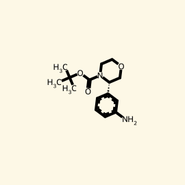 CC(C)(C)OC(=O)N1CCOC[C@@H]1c1cccc(N)c1